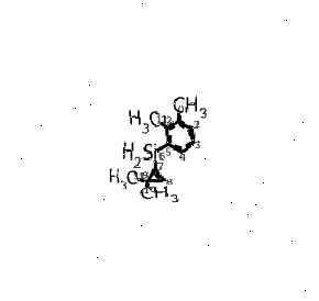 Cc1cccc([SiH2]C2=CC2(C)C)c1C